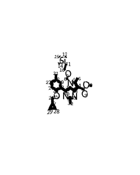 COC(=O)c1c(C)n(COCC[Si](C)(C)C)c2c(-c3cc(C)ccc3OCC3CC3)nc(C)nc12